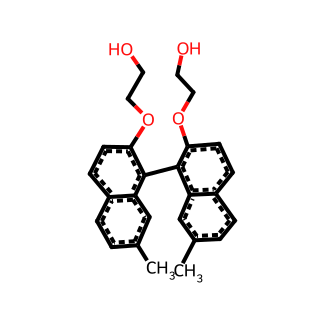 Cc1ccc2ccc(OCCO)c(-c3c(OCCO)ccc4ccc(C)cc34)c2c1